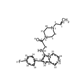 C=CCN1CCN(C(=O)CNc2c(-c3ccc(F)cc3)nc3cnccn23)CC1